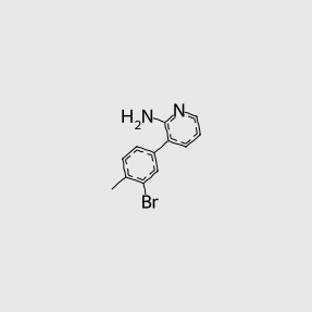 Cc1ccc(-c2cccnc2N)cc1Br